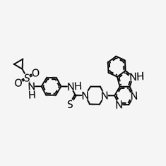 O=S(=O)(Nc1ccc(NC(=S)N2CCN(c3ncnc4[nH]c5ccccc5c34)CC2)cc1)C1CC1